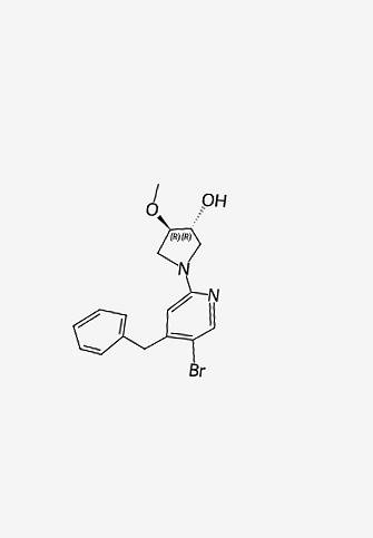 CO[C@@H]1CN(c2cc(Cc3ccccc3)c(Br)cn2)C[C@H]1O